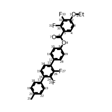 CCOc1ccc(C(=O)Oc2ccc(-c3ccc(-c4ccc(C)cc4)c(F)c3F)cc2)c(F)c1F